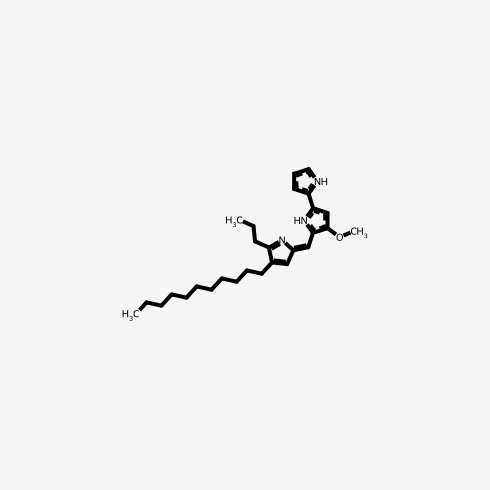 CCCCCCCCCCCC1=C/C(=C/c2[nH]c(-c3ccc[nH]3)cc2OC)N=C1CCC